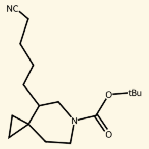 CC(C)(C)OC(=O)N1CCC2(CC2)C(CCCCC#N)C1